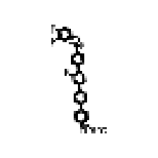 CCCCCc1ccc(-c2ccc(-c3ccc(-c4ccc(C(F)(F)Oc5ccc(F)c(F)c5)cc4)c(F)c3)cc2)cc1